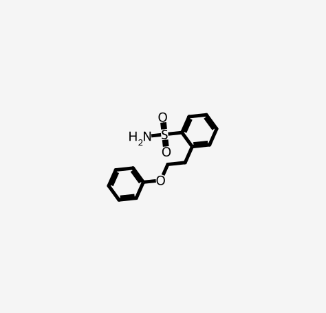 NS(=O)(=O)c1ccccc1CCOc1ccccc1